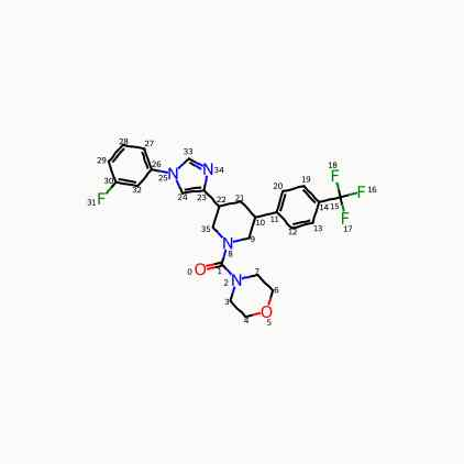 O=C(N1CCOCC1)N1CC(c2ccc(C(F)(F)F)cc2)CC(c2cn(-c3cccc(F)c3)cn2)C1